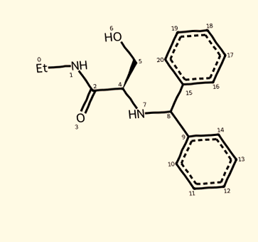 CCNC(=O)[C@@H](CO)NC(c1ccccc1)c1ccccc1